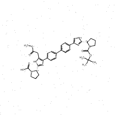 COC(=O)Cc1[nH]c([C@@H]2CCCN2C(=O)O)nc1-c1ccc(-c2ccc(-c3c[nH]c([C@@H]4CCCN4C(=O)OC(C)(C)C)n3)cc2)cc1